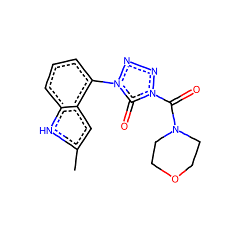 Cc1cc2c(-n3nnn(C(=O)N4CCOCC4)c3=O)cccc2[nH]1